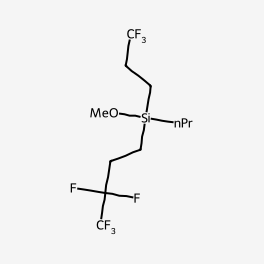 CCC[Si](CCC(F)(F)F)(CCC(F)(F)C(F)(F)F)OC